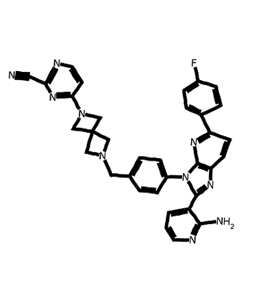 N#Cc1nccc(N2CC3(CN(Cc4ccc(-n5c(-c6cccnc6N)nc6ccc(-c7ccc(F)cc7)nc65)cc4)C3)C2)n1